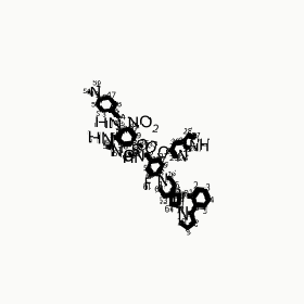 CC(C)c1ccccc1C1CCCN1C1CC2(CCN(c3cc(Oc4cnc5[nH]ccc5c4)c(C(=O)NS(=O)(=O)c4cc([N+](=O)[O-])c(NCC5CCC(N(C)C)CC5)c5[nH]cnc45)cc3F)CC2)C1